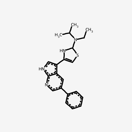 CCN(C(C)C)C1NC(c2c[nH]c3ncc(-c4ccccc4)cc23)=CS1